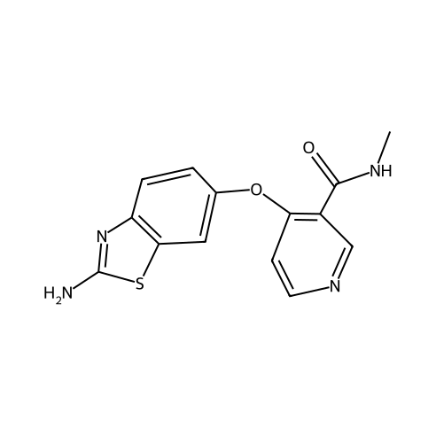 CNC(=O)c1cnccc1Oc1ccc2nc(N)sc2c1